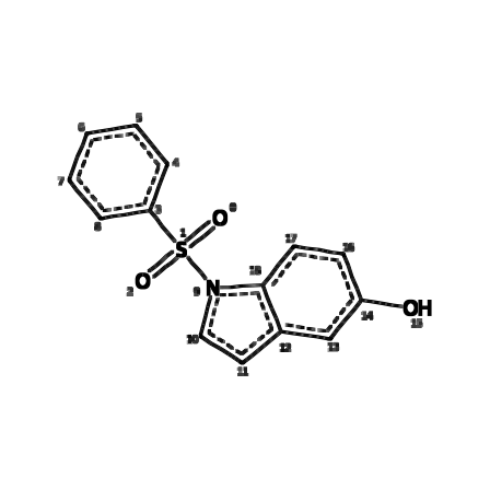 O=S(=O)(c1ccccc1)n1ccc2cc(O)ccc21